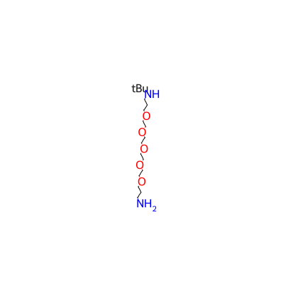 CC(C)(C)NCCCOCCOCCOCCOCCOCCCN